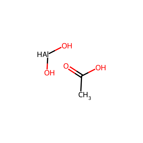 CC(=O)O.[OH][AlH][OH]